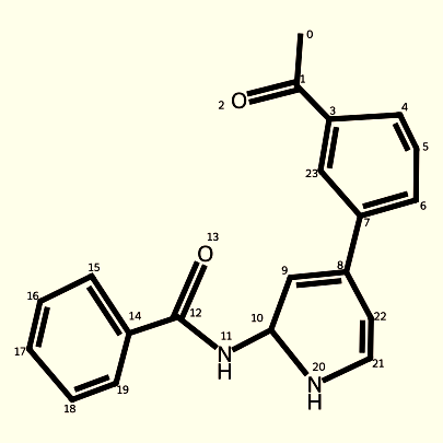 CC(=O)c1cccc(C2=CC(NC(=O)c3ccccc3)NC=C2)c1